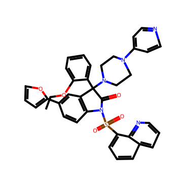 CCOc1ccccc1C1(N2CCN(c3ccncc3)CC2)C(=O)N(S(=O)(=O)c2cccc3cccnc23)c2ccc(-c3ccco3)cc21